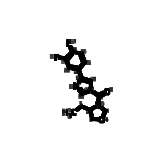 CCC1COCN1C(=O)n1cnc(-c2ccc(F)c(F)c2)c1